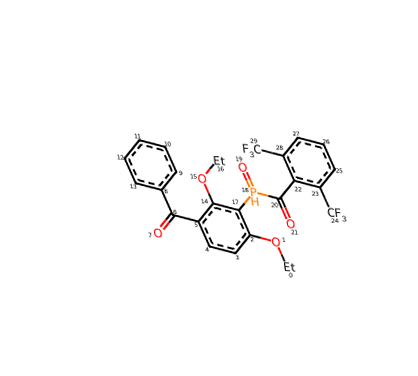 CCOc1ccc(C(=O)c2ccccc2)c(OCC)c1[PH](=O)C(=O)c1c(C(F)(F)F)cccc1C(F)(F)F